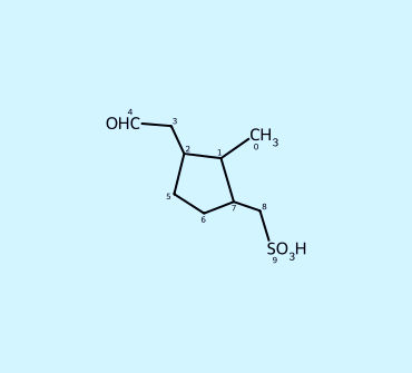 CC1C(CC=O)CCC1CS(=O)(=O)O